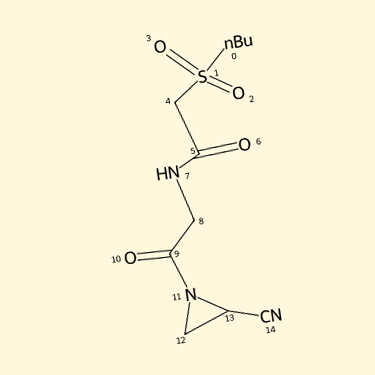 CCCCS(=O)(=O)CC(=O)NCC(=O)N1CC1C#N